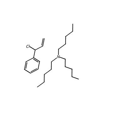 C=CC(Cl)c1ccccc1.CCCCCN(CCCCC)CCCCC